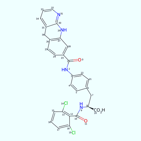 O=C(Nc1ccc(C[C@H](NC(=O)c2c(Cl)cccc2Cl)C(=O)O)cc1)c1ccc2c(c1)Nc1ncccc1C2